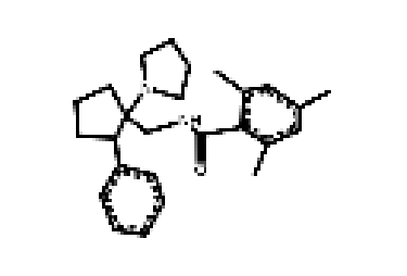 Cc1cc(C)c(C(=O)NCC2(N3CCCC3)CCCC2c2ccccc2)c(C)c1